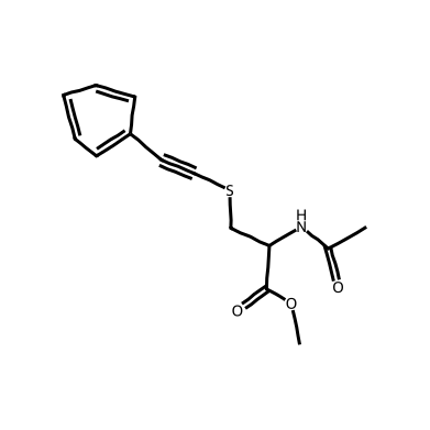 COC(=O)C(CSC#Cc1ccccc1)NC(C)=O